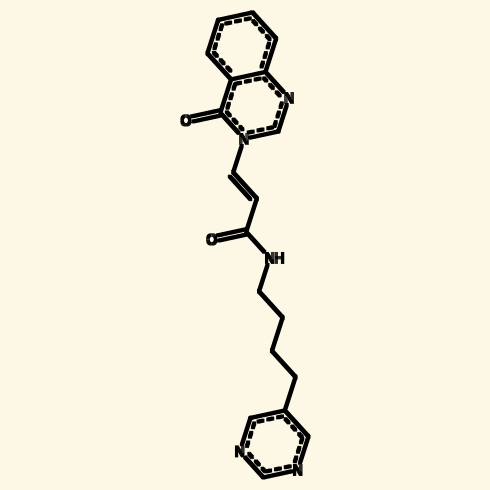 O=C(/C=C/n1cnc2ccccc2c1=O)NCCCCc1cncnc1